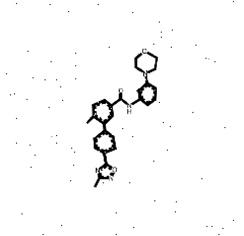 Cc1noc(-c2ccc(-c3cc(C(=O)Nc4cccc(N5CCOCC5)c4)ccc3C)cc2)n1